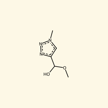 COC(O)c1cn(C)nn1